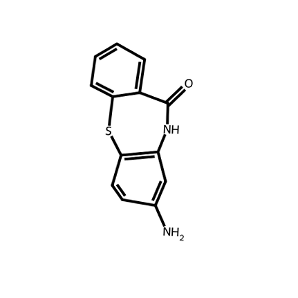 Nc1ccc2c(c1)NC(=O)c1ccccc1S2